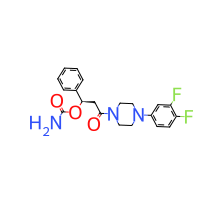 NC(=O)O[C@H](CC(=O)N1CCN(c2ccc(F)c(F)c2)CC1)c1ccccc1